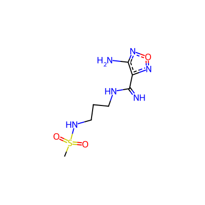 CS(=O)(=O)NCCCNC(=N)c1nonc1N